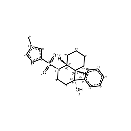 Cn1cnc(S(=O)(=O)N2CC[C@](O)(c3ccccc3)[C@H]3CCCC[C@H]32)c1